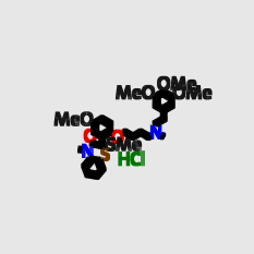 COc1ccc(OCCCCN(C)CCc2cc(OC)c(OC)c(OC)c2)c(C2(SC)Sc3ccccc3N(C)C2=O)c1.Cl